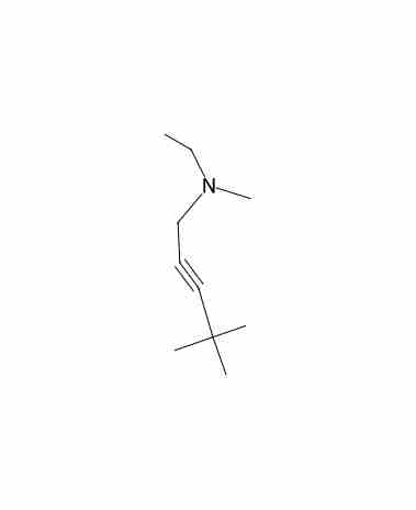 CCN(C)CC#CC(C)(C)C